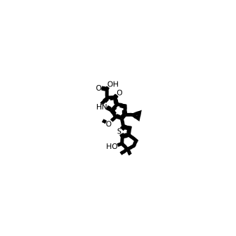 COc1c(-c2cc3c(s2)C(O)C(C)(C)CC3)c(C2CC2)cc2c(=O)c(C(=O)O)c[nH]c12